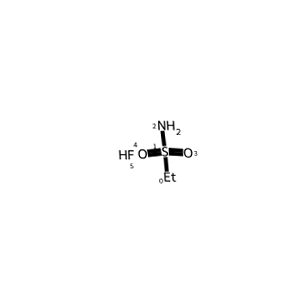 CCS(N)(=O)=O.F